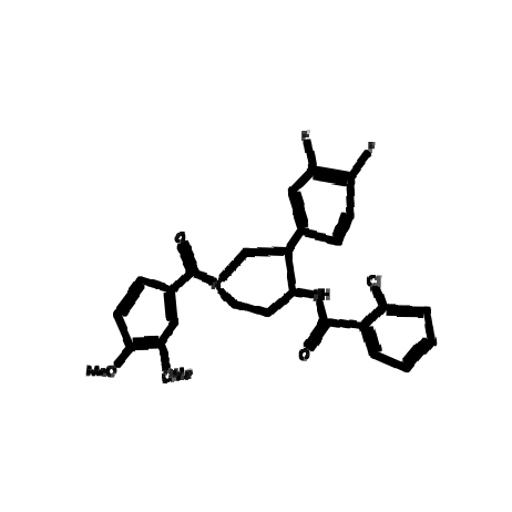 COc1ccc(C(=O)N2CCC(NC(=O)c3ccccc3Cl)C(c3ccc(F)c(F)c3)C2)cc1OC